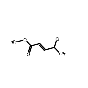 CCCOC(=O)C=CC(Cl)CCC